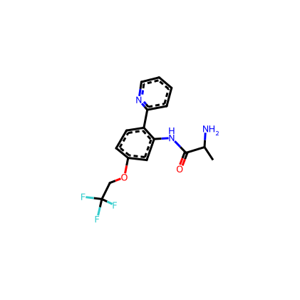 CC(N)C(=O)Nc1cc(OCC(F)(F)F)ccc1-c1ccccn1